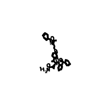 Cc1oc(-c2ccccc2)nc1CCOc1ccc(C(C)[C@@H](Nc2ccccc2C(=O)c2ccccc2)C2CC2C(N)=O)cc1